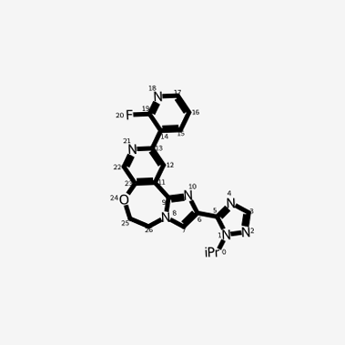 CC(C)n1ncnc1-c1cn2c(n1)-c1cc(-c3cccnc3F)ncc1OCC2